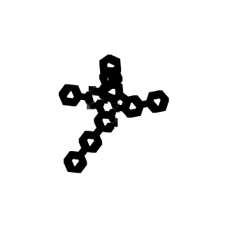 c1ccc(-c2ccc(-c3cnc(-n4c5ccc(-c6ccccc6)cc5c5cc(-c6ccccc6)ccc54)c(-c4nc(-c5ccccc5)nc(-c5ccccc5)n4)c3)cc2)cc1